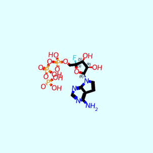 Nc1ncnc2c1ccn2[C@@H]1O[C@](F)(COP(=O)(O)OP(=O)(O)OP(=O)(O)O)[C@@H](O)[C@H]1O